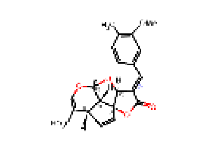 COc1cc(/C=C2/C(=O)O[C@]34C=C[C@@H]5C(C(=O)O)=CO[C@H](O[C@@H]23)[C@@H]54)ccc1C